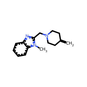 C=C1CCN(Cc2nc3ccccc3n2C)CC1